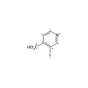 O=C(O)c1ccncc1I